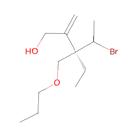 C=C(CO)[C@](CC)(COCCC)C(C)Br